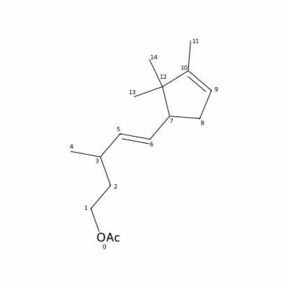 CC(=O)OCCC(C)C=CC1CC=C(C)C1(C)C